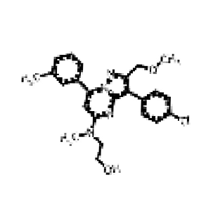 COCc1nn2c(-c3cccc(C)c3)cc(N(C)CCO)nc2c1-c1ccc(Cl)cc1